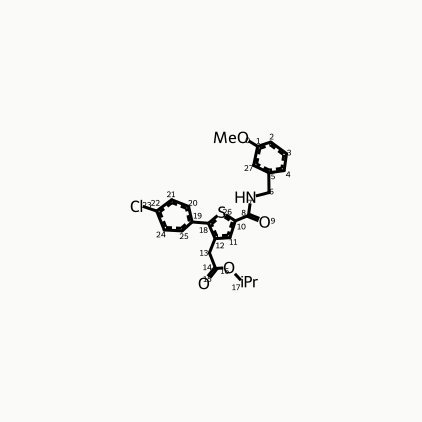 COc1cccc(CNC(=O)c2cc(CC(=O)OC(C)C)c(-c3ccc(Cl)cc3)s2)c1